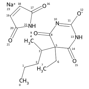 CCCC(C)C1(CC)C(=O)N=C([O-])NC1=O.O=C1C=CC(=O)N1.[Na+]